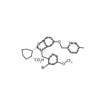 Cc1ccc(COc2ccc3nc([C@H]4CCCC[C@H]4C(=O)O)n(Cc4ccc(OC(F)(F)F)cc4Br)c3c2)nc1